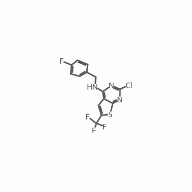 Fc1ccc(CNc2nc(Cl)nc3sc(C(F)(F)F)cc23)cc1